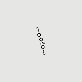 N#CCC[C@H]1CC[C@H](OC(=O)c2ccc([C@H]3CC[C@H](CCC#N)CC3)cc2)CC1